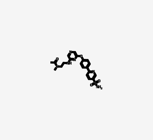 CC(=O)N(C)CCNc1cncc(Oc2ccc(-c3ccc(S(N)(=O)=O)cn3)cc2)n1